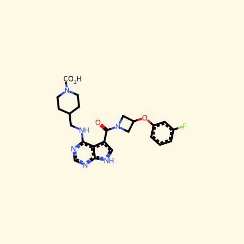 O=C(O)N1CCC(CNc2ncnc3[nH]cc(C(=O)N4CC(Oc5cccc(F)c5)C4)c23)CC1